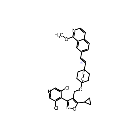 COc1nccc2ccc(/C=C/C34CCC(OCc5c(-c6c(Cl)cncc6Cl)noc5C5CC5)(CC3)CC4)cc12